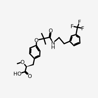 CO[C@@H](Cc1ccc(OC(C)(C)C(=O)NCCc2cccc(C(F)(F)F)c2)cc1)C(=O)O